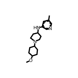 COC1CCC(N2CCC(Nc3cncc(C)c3)CC2)CC1